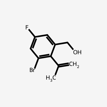 C=C(C)c1c(Br)cc(F)cc1CO